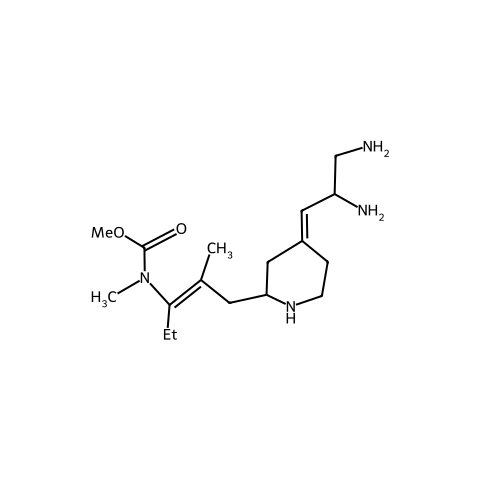 CC/C(=C(/C)CC1C/C(=C/C(N)CN)CCN1)N(C)C(=O)OC